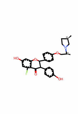 C[C@@H]1CCN([C@@H](C)COc2ccc(C3Oc4cc(O)cc(F)c4C(=O)C3c3ccc(O)cc3)cc2)C1